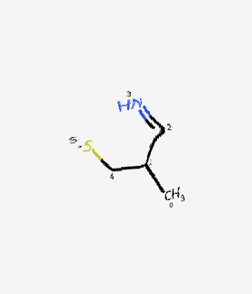 CC([C]=N)C[S]